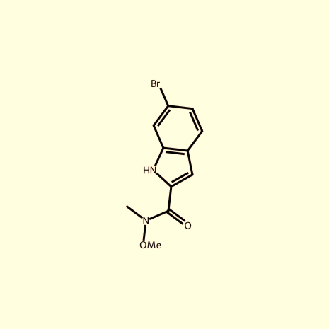 CON(C)C(=O)c1cc2ccc(Br)cc2[nH]1